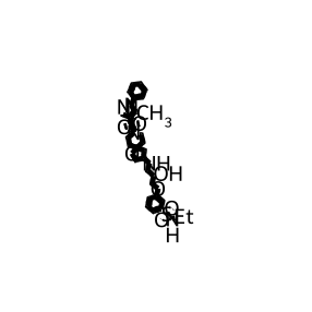 CCNS(=O)(=O)c1cccc(OCC(O)CNC2COC3(CCN(S(=O)(=O)c4cnn(-c5ccccc5)c4C)CC3)C2)c1